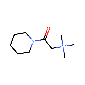 C[N+](C)(C)CC(=O)N1CCCCC1